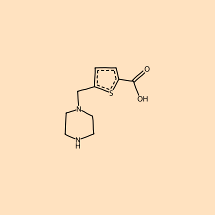 O=C(O)c1ccc(CN2CCNCC2)s1